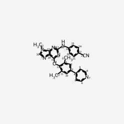 Cc1cc(-c2ccncc2)cc(C)c1Oc1nc(Nc2ccc(C#N)cc2)nc2c1ncn2C